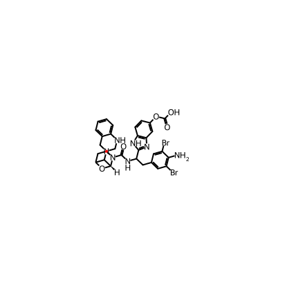 Nc1c(Br)cc(CC(NC(=O)N2CCC3O[C@@H]2C3N2CNc3ccccc3C2)c2nc3cc(OC(=O)O)ccc3[nH]2)cc1Br